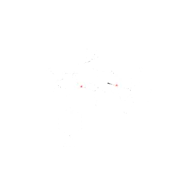 O=C(O)c1cc(F)c2nc(N3[C@@H]4CC[C@H]3C[C@@H](OC(=O)c3c(C5CCC6(CC5)CC6)noc3C3CC3)C4)sc2c1